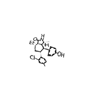 CC[C@@]12CC[C@@H](c3ccc(C)cc3Cl)[C@H](c3ccc(O)cc3)[C@@H]1[C@@H](C)NC2=O